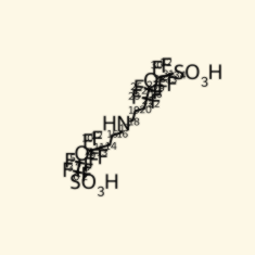 O=S(=O)(O)C(F)(F)C(F)(F)OC(F)(F)C(F)(F)CCCNCCCC(F)(F)C(F)(F)OC(F)(F)C(F)(F)S(=O)(=O)O